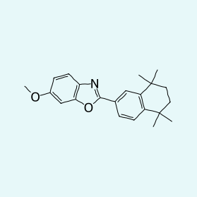 COc1ccc2nc(-c3ccc4c(c3)C(C)(C)CCC4(C)C)oc2c1